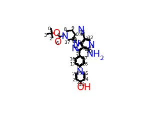 CC(C)(C)OC(=O)N1CCC[C@@H](n2nc(-c3ccc(N4C=CC(O)C=C4)cc3)c3c(N)ncc(C#N)c32)C1